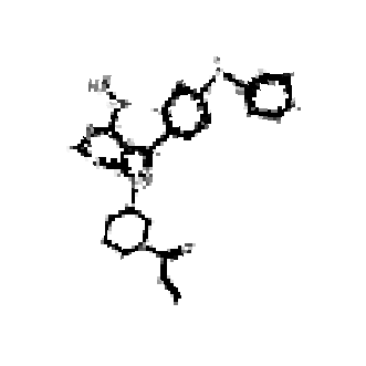 C=CC(=O)N1CCC[C@@H](n2nc(-c3ccc(Oc4ccccc4)cc3)c3c(NP)ncnc32)C1